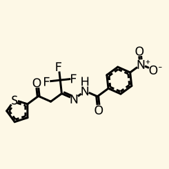 O=C(NN=C(CC(=O)c1cccs1)C(F)(F)F)c1ccc([N+](=O)[O-])cc1